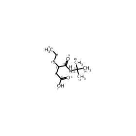 CCSC(CC(=O)O)C(=O)NC(C)(C)C